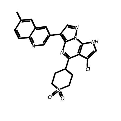 Cc1ccc2ncc(-c3cnn4c3nc(C3CCS(=O)(=O)CC3)c3c(Cl)c[nH]c34)cc2c1